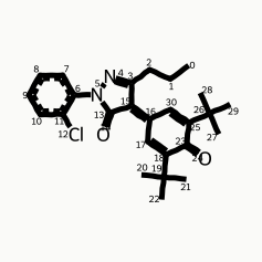 CCCC1=NN(c2ccccc2Cl)C(=O)C1=C1C=C(C(C)(C)C)C(=O)C(C(C)(C)C)=C1